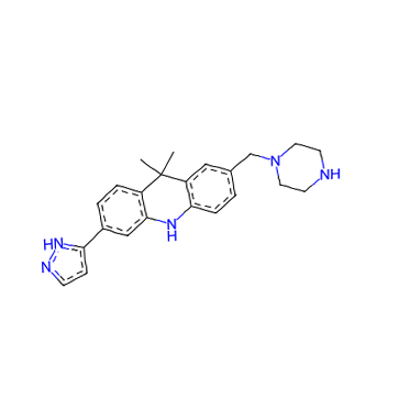 CC1(C)c2ccc(-c3ccn[nH]3)cc2Nc2ccc(CN3CCNCC3)cc21